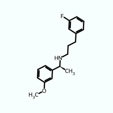 COc1cccc([C@H](C)NCCCc2cccc(F)c2)c1